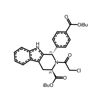 CC(C)COC(=O)c1ccc([C@H]2c3[nH]c4ccccc4c3C[C@H](C(=O)OCC(C)C)N2C(=O)CCl)cc1